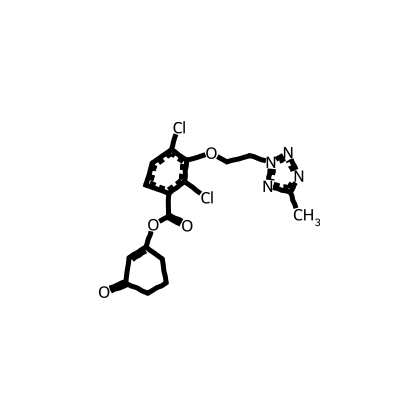 Cc1nnn(CCOc2c(Cl)ccc(C(=O)OC3=CC(=O)CCC3)c2Cl)n1